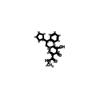 CNC(=O)c1nn(CC(c2ccccc2)C2CCCC2)cc(O)c1=O